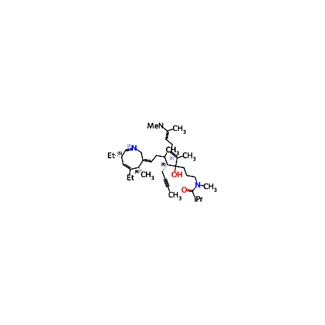 CC#CC[C@H](C(C)CC=C1C/N=C\[C@@H](CC)C=C(CC)[C@H]1C)C(O)(CCCN(C)C(=O)C(C)C)/C(C)=C/CC=C(C)NC